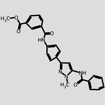 COC(=O)c1cccc(C(=O)Nc2ccc(-c3cc(NC(=O)c4ccccc4)n(C)n3)cc2)c1